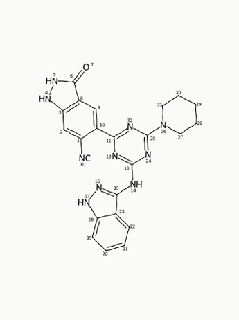 [C-]#[N+]c1cc2[nH][nH]c(=O)c2cc1-c1nc(Nc2n[nH]c3ccccc23)nc(N2CCCCC2)n1